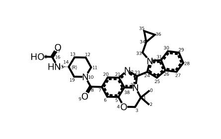 CC1(C)COc2cc(C(=O)N3CCC[C@@H](NC(=O)O)C3)cc3nc(-c4cc5ccccc5n4CC4CC4)n1c23